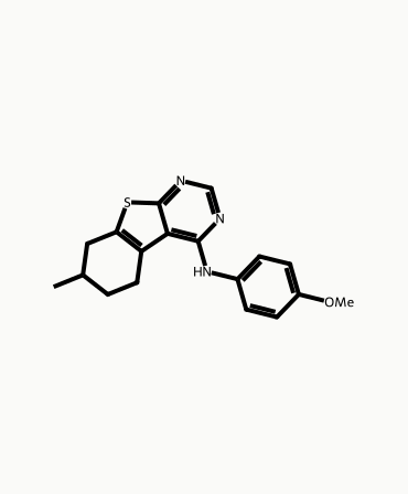 COc1ccc(Nc2ncnc3sc4c(c23)CCC(C)C4)cc1